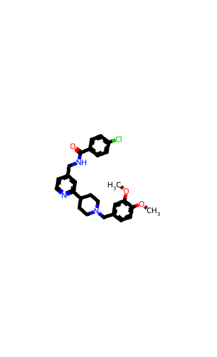 COc1ccc(CN2CCC(c3cc(CNC(=O)c4ccc(Cl)cc4)ccn3)CC2)cc1OC